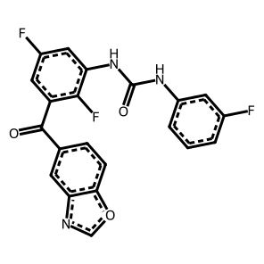 O=C(Nc1cccc(F)c1)Nc1cc(F)cc(C(=O)c2ccc3ocnc3c2)c1F